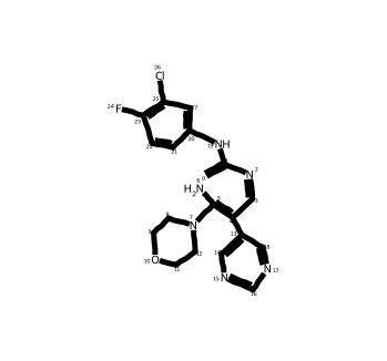 C=C(/N=C\C(=C(/N)N1CCOCC1)c1cncnc1)Nc1ccc(F)c(Cl)c1